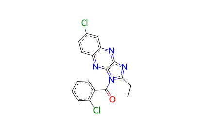 CCc1nc2nc3cc(Cl)ccc3nc2n1C(=O)c1ccccc1Cl